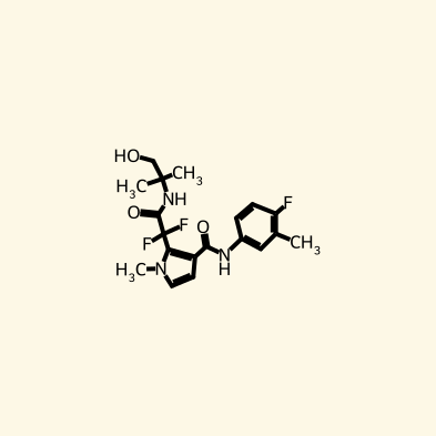 Cc1cc(NC(=O)c2ccn(C)c2C(F)(F)C(=O)NC(C)(C)CO)ccc1F